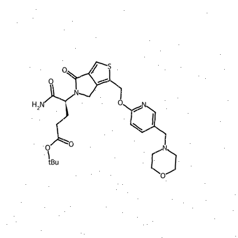 CC(C)(C)OC(=O)CC[C@@H](C(N)=O)N1Cc2c(csc2COc2ccc(CN3CCOCC3)cn2)C1=O